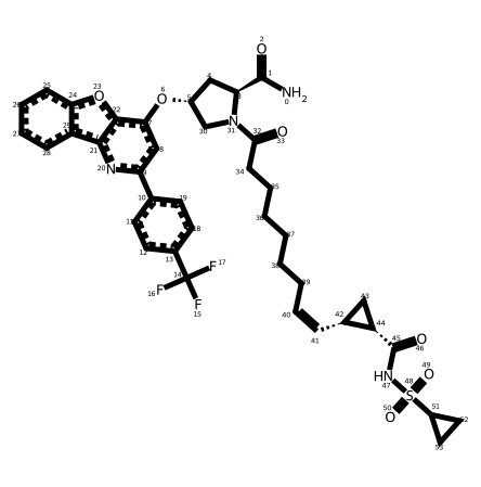 NC(=O)[C@@H]1C[C@@H](Oc2cc(-c3ccc(C(F)(F)F)cc3)nc3c2oc2ccccc23)CN1C(=O)CCCCCC/C=C\[C@@H]1C[C@@H]1C(=O)NS(=O)(=O)C1CC1